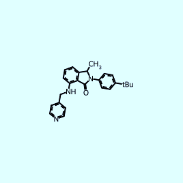 CC1c2cccc(NCc3ccncc3)c2C(=O)N1c1ccc(C(C)(C)C)cc1